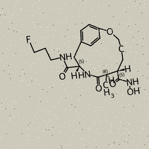 C[C@H]1C(=O)N[C@H](C(=O)NCCCF)Cc2ccc(cc2)OCCC[C@@H]1C(=O)NO